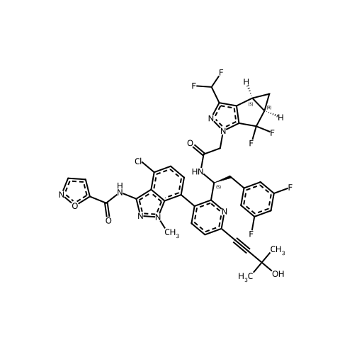 Cn1nc(NC(=O)c2ccno2)c2c(Cl)ccc(-c3ccc(C#CC(C)(C)O)nc3[C@H](Cc3cc(F)cc(F)c3)NC(=O)Cn3nc(C(F)F)c4c3C(F)(F)[C@@H]3C[C@H]43)c21